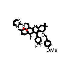 COc1ccc(CO[C@H]2CC(C)(C)Cc3nc(C4CCN(c5ncccn5)CC4)c([C@@H](F)c4ccc(C)cc4)c(C4CCC(F)(F)CC4)c32)cc1